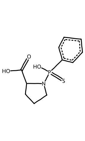 O=C(O)C1CCCN1P(O)(=S)c1ccccc1